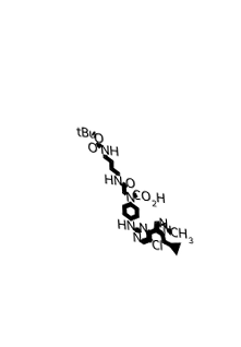 Cn1ncc(-c2nc(N[C@H]3CC[C@H](N(CC(=O)NCCCCNC(=O)OC(C)(C)C)C(=O)O)CC3)ncc2Cl)c1CC1CC1